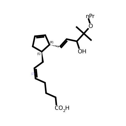 CCCOC(C)(C)C(O)C=C[C@H]1C=CC[C@@H]1C/C=C\CCCC(=O)O